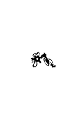 CCOC(=O)C(C)=CCc1c(C)c(OC)c(OC)c(OC)c1OC